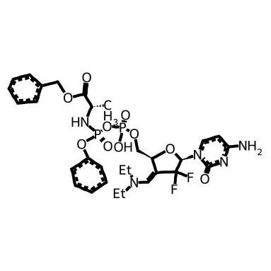 CCN(/C=C1\[C@@H](COP(=O)(O)OP(=O)(N[C@@H](C)C(=O)OCc2ccccc2)Oc2ccccc2)O[C@@H](n2ccc(N)nc2=O)C1(F)F)CC